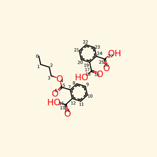 CCCCOC(=O)c1ccccc1C(=O)O.O=C(O)c1ccccc1C(=O)O